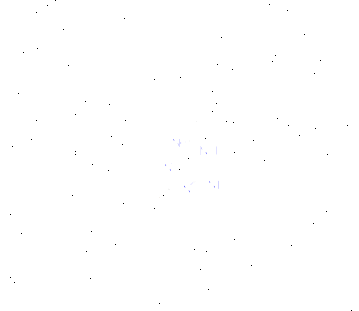 CCNc1nc(=S)n(CC2CCCCC2)c2nc(C3CC3)[nH]c12